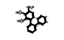 O=S(=O)(O)c1ccc(-c2ccccc2-c2ccccc2)c(S(=O)(=O)O)c1S(=O)(=O)O